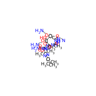 Cc1nc(-c2ccc(C(C)(C)C)cc2)nc(C)c1C(=O)N[C@@H](CNS(N)(=O)=O)C(=O)N(C)[C@@H]1C(=O)N[C@@H](C)C(=O)N[C@H](C(=O)NCC#N)Cc2ccc(OCCCN)c(c2)-c2cc1cc(OCCCN)c2O